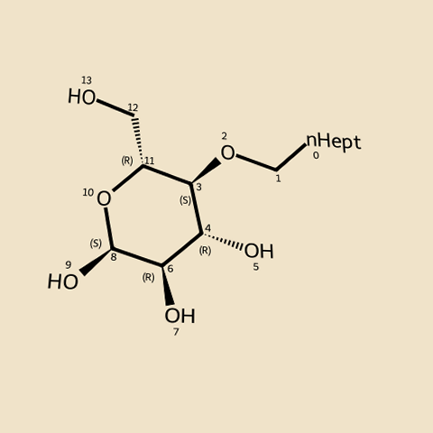 CCCCCCCCO[C@H]1[C@H](O)[C@@H](O)[C@@H](O)O[C@@H]1CO